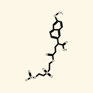 COc1ccc2cc(C(CCC(=O)OCCS(=O)(=O)CCO[N+](=O)[O-])C(=O)O)ccc2c1